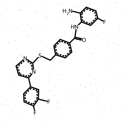 Nc1ccc(F)cc1NC(=O)c1ccc(CSc2nccc(-c3ccc(F)c(F)c3)n2)cc1